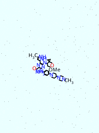 COc1cc(Nc2nc(NC3CCOCC34CC4)c(-c3cc(C)[nH]n3)nc2C(N)=O)ccc1N1CCC(N2CCN(C)CC2)CC1